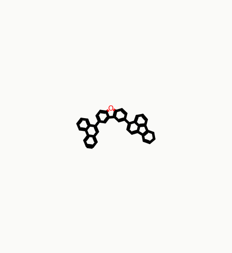 c1cc2cc(-c3ccc4oc5ccc(-c6ccc7c8c(cccc68)C6=C7C=CCC6)cc5c4c3)c3ccccc3c2cc#1